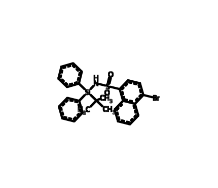 CC(C)(C)[Si](NS(=O)(=O)c1ccc(Br)c2ccccc12)(c1ccccc1)c1ccccc1